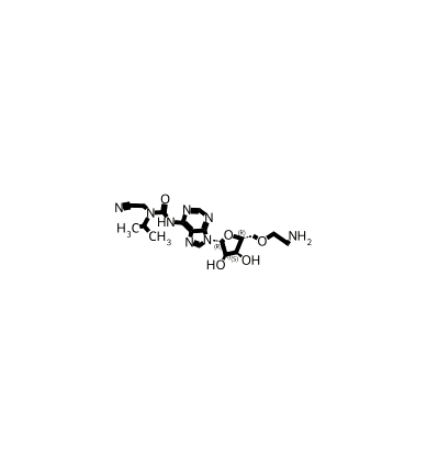 CC(C)N(CC#N)C(=O)Nc1ncnc2c1ncn2[C@@H]1O[C@H](COCCN)[C@@H](O)[C@H]1O